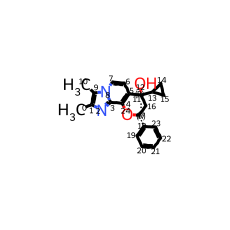 Cc1nc2c3c(ccn2c1C)[C@](O)(C1CC1)[C][C@H](c1ccccc1)O3